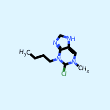 CCCCN1C2=NCNC2=CN(C)C1Cl